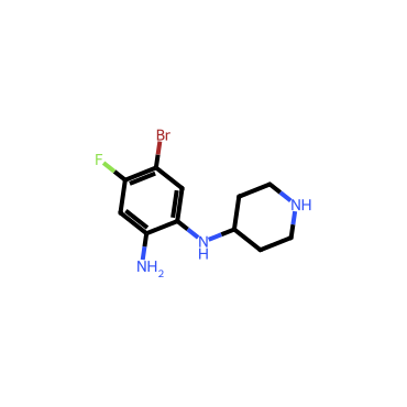 Nc1cc(F)c(Br)cc1NC1CCNCC1